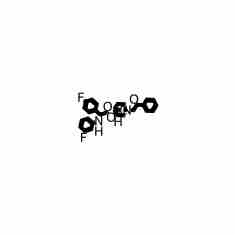 O=C(C[N+]12CCC(CC1)[C@@H](OC(=O)C(Nc1cccc(F)c1)c1ccc(F)cc1)C2)c1ccccc1